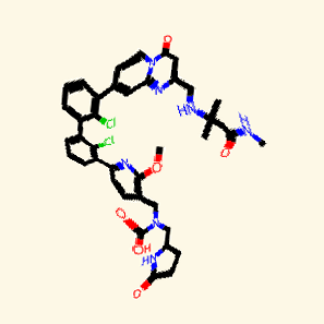 CNC(=O)C(C)(C)NCc1cc(=O)n2ccc(-c3cccc(-c4cccc(-c5ccc(CN(CC6CCC(=O)N6)C(=O)O)c(OC)n5)c4Cl)c3Cl)cc2n1